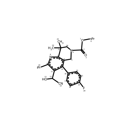 CCCOC(=O)N1Cc2c(nc(C(C)C)c(C(O)C#N)c2-c2ccc(F)cc2)C(C)(C)C1